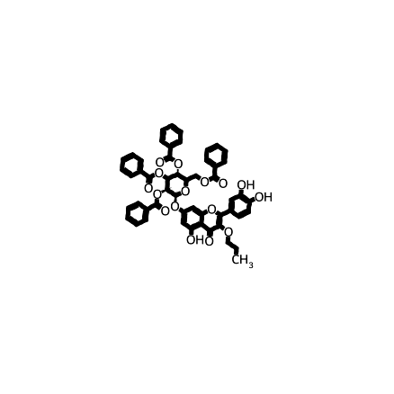 CCCOc1c(-c2ccc(O)c(O)c2)oc2cc(O[C@@H]3OC(COC(=O)c4ccccc4)[C@@H](OC(=O)c4ccccc4)C(OC(=O)c4ccccc4)[C@@H]3OC(=O)c3ccccc3)cc(O)c2c1=O